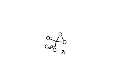 [Ca+2].[O-]C1([O-])OO1.[Zr]